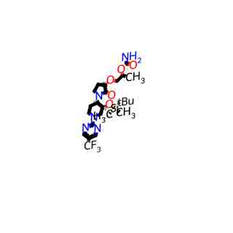 CC(CO[C@@H]1CCN([C@H]2CCN(c3ncc(C(F)(F)F)cn3)C[C@@H]2O[Si](C)(C)C(C)(C)C)C1=O)OC(N)=O